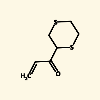 C=CC(=O)C1CSCCS1